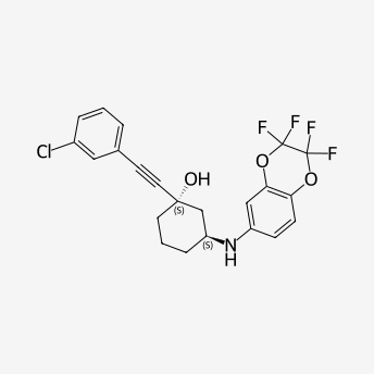 O[C@@]1(C#Cc2cccc(Cl)c2)CCC[C@H](Nc2ccc3c(c2)OC(F)(F)C(F)(F)O3)C1